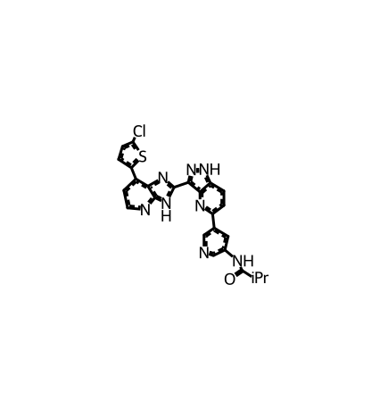 CC(C)C(=O)Nc1cncc(-c2ccc3[nH]nc(-c4nc5c(-c6ccc(Cl)s6)ccnc5[nH]4)c3n2)c1